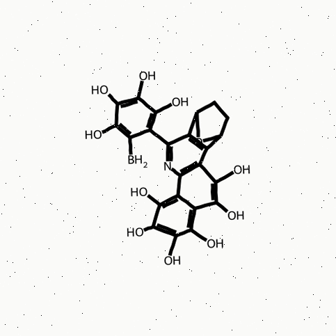 Bc1c(O)c(O)c(O)c(O)c1-c1nc2c(c(O)c(O)c3c(O)c(O)c(O)c(O)c32)c2c1C1CCC2O1